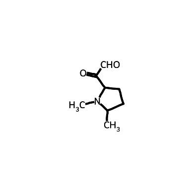 CC1CCC(C(=O)C=O)N1C